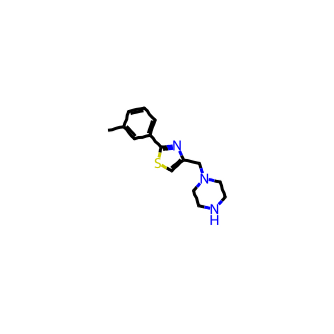 Cc1cccc(-c2nc(CN3CCNCC3)cs2)c1